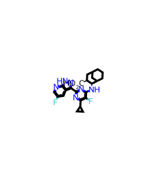 O=C(O)[C@H]1CC2CCCC(C2)[C@@H]1Nc1nc(-c2n[nH]c3ncc(F)cc23)nc(C2CC2)c1F